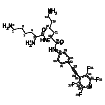 NCCCCC(N)C(=O)NC(CCCCN)C(=O)Nc1ccc(C#Cc2c(F)c(F)nc(F)c2F)cc1